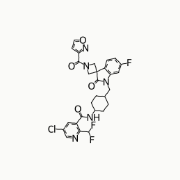 O=C(NC1CCC(CN2C(=O)C3(CN(C(=O)c4ccon4)C3)c3ccc(F)cc32)CC1)c1cc(Cl)cnc1C(F)F